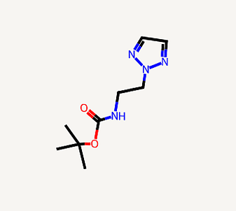 CC(C)(C)OC(=O)NCCn1nccn1